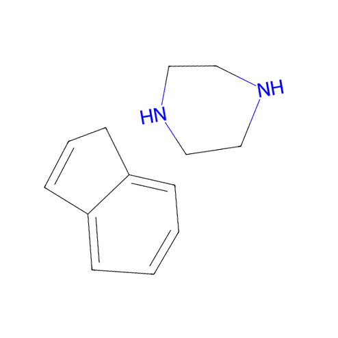 C1=Cc2ccccc2C1.C1CNCCN1